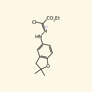 CCOC(=O)/C(Cl)=N/Nc1ccc2c(c1)CC(C)(C)O2